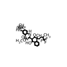 COP1(=O)N=C(C2=C(O)c3ccccc3C(C)(CCC(C)C(F)(F)F)C2=O)Nc2ccc(NS(C)(=O)=O)cc21